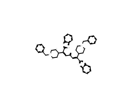 O=C(C=C(c1nc2ccccc2s1)C1CCN(Cc2ccccc2)CC1)C=C(c1nc2ccccc2s1)C1CCN(Cc2ccccc2)CC1